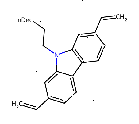 C=Cc1ccc2c3ccc(C=C)cc3n(CCCCCCCCCCCC)c2c1